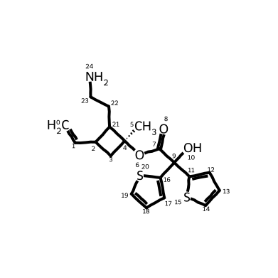 C=CC1C[C@](C)(OC(=O)C(O)(c2cccs2)c2cccs2)C1CCN